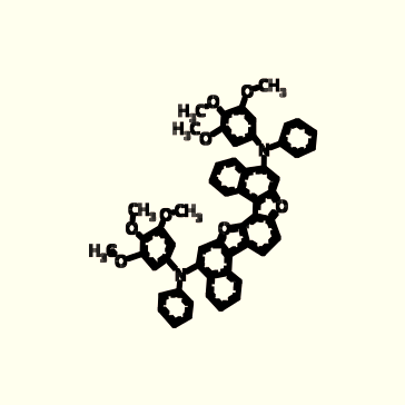 COc1cc(N(c2ccccc2)c2cc3oc4c(ccc5oc6cc(N(c7ccccc7)c7cc(OC)c(OC)c(OC)c7)c7ccccc7c6c54)c3c3ccccc23)cc(OC)c1OC